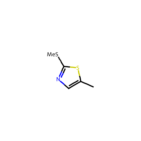 CSc1ncc(C)s1